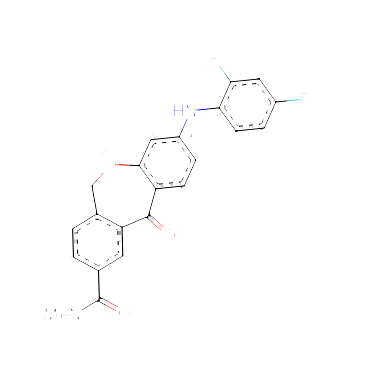 CNC(=O)c1ccc2c(c1)C(=O)c1ccc(Nc3ccc(F)cc3F)cc1OC2